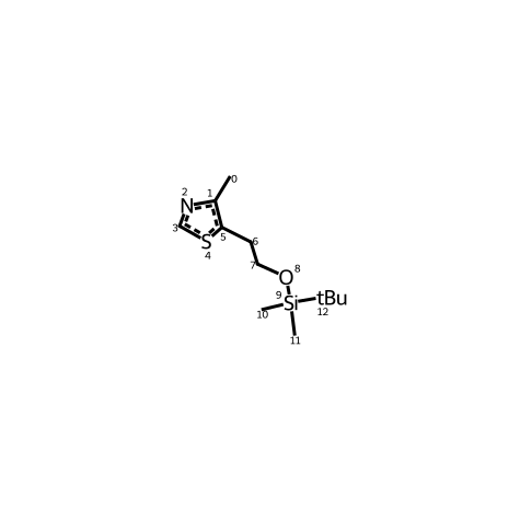 Cc1ncsc1CCO[Si](C)(C)C(C)(C)C